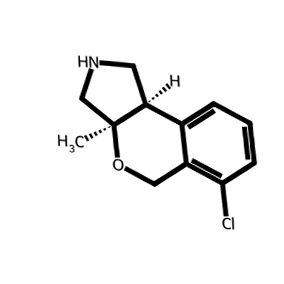 C[C@]12CNC[C@H]1c1cccc(Cl)c1CO2